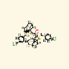 O=C(C(SCc1ccc(Cl)cc1)C12CC3CC(CC(C3)C1)C2)C(SCc1ccc(Cl)cc1)C12CC3CC(CC(C3)C1)C2